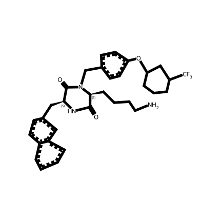 NCCCC[C@H]1C(=O)N[C@@H](Cc2ccc3ccccc3c2)C(=O)N1Cc1ccc(OC2CCCC(C(F)(F)F)C2)cc1